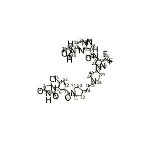 O=C1CCN(c2cc(C(=O)N3CCC(CCCN4CCC(n5cc(NC(=O)c6cnn7ccc(N8C[C@H]9C[C@@H]8CO9)nc67)c(C(F)F)n5)CC4)CC3)ccc2Cl)C(=O)N1